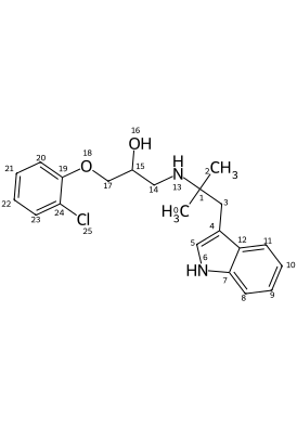 CC(C)(Cc1c[nH]c2ccccc12)NCC(O)COc1ccccc1Cl